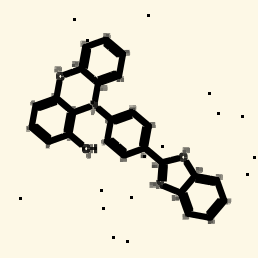 Oc1cccc2c1N(c1ccc(-c3nc4ccccc4o3)cc1)c1ccccc1O2